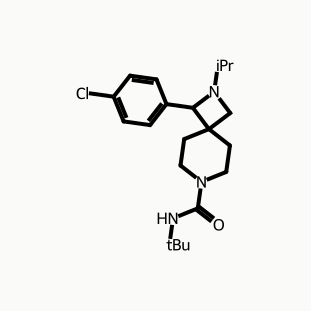 CC(C)N1CC2(CCN(C(=O)NC(C)(C)C)CC2)C1c1ccc(Cl)cc1